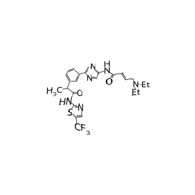 CCN(CC)C/C=C/C(=O)Nc1cnc(-c2cccc(C(C)C(=O)Nc3ncc(C(F)(F)F)s3)c2)cn1